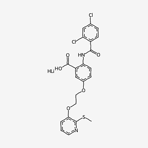 CSc1ncccc1OCCOc1ccc(NC(=O)c2ccc(Cl)cc2Cl)c(C(=O)O)c1.[LiH]